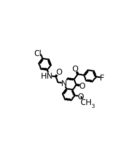 COc1cccc2c1c(=O)c(C(=O)c1ccc(F)cc1)cn2CC(=O)Nc1ccc(Cl)cc1